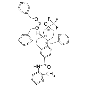 Cc1ncccc1NC(=O)c1ccc2c(c1)CC[C@@H]1C[C@@](OP(OCc3ccccc3)OCc3ccccc3)(C(F)(F)F)CC[C@@]21Cc1ccccc1